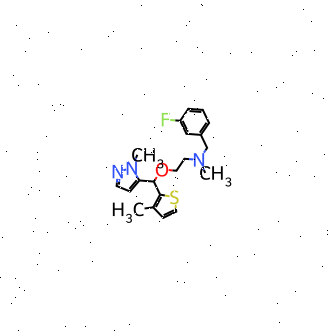 Cc1ccsc1C(OCCN(C)Cc1cccc(F)c1)c1ccnn1C